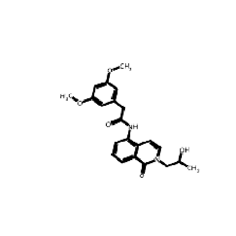 COc1cc(CC(=O)Nc2cccc3c(=O)n(CC(C)O)ccc23)cc(OC)c1